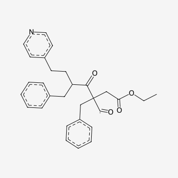 CCOC(=O)CC([C]=O)(Cc1ccccc1)C(=O)C(CCc1ccncc1)Cc1ccccc1